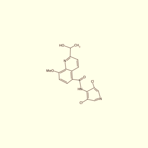 COc1ccc(C(=O)Nc2c(Cl)cncc2Cl)c2ccc(C(C)O)nc12